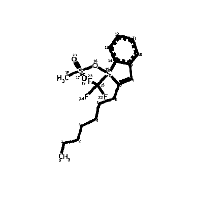 CCCCCCCC1=Cc2ccccc2S1(OS(C)(=O)=O)C(F)(F)F